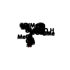 CNc1cc(OCc2cc(COc3cc4c(cc3OC)C(=O)N3c5ccccc5C[C@H]3C=N4)cc(N(CCOCCOCCOC)CC(C)(C)SSCCC(C(=O)ON3C(=O)CCC3=O)S(=O)(=O)O)c2)c(OC)cc1C(=O)N1CCc2ccccc21